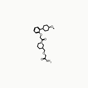 COC1CCC(c2ccccc2OCC(=O)N2CCCC(COCC(N)=O)C2)CC1